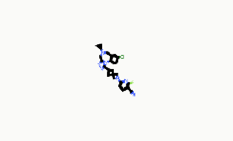 N#Cc1ccc(N2CC3(CC(c4nnc5n4-c4ccc(Cl)cc4CN(C4CC4)C5)C3)C2)nc1F